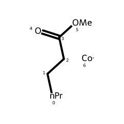 CCCCCC(=O)OC.[Co]